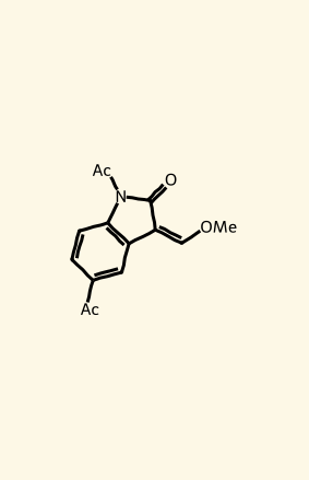 COC=C1C(=O)N(C(C)=O)c2ccc(C(C)=O)cc21